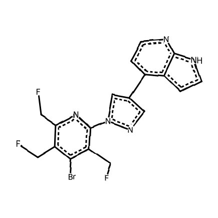 FCc1nc(-n2cc(-c3ccnc4[nH]ccc34)cn2)c(CF)c(Br)c1CF